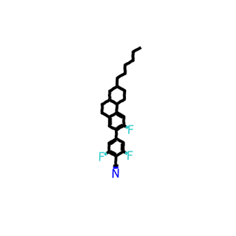 CCCCCCC1CCC2c3cc(F)c(-c4cc(F)c(C#N)c(F)c4)cc3CCC2C1